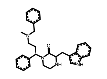 CN(CC[C@H](c1ccccc1)N1CCNC(Cc2c[nH]c3ccccc23)C1=O)Cc1ccccc1